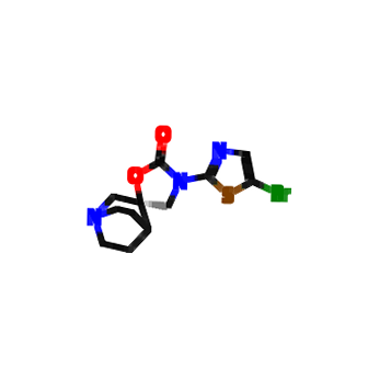 O=C1O[C@@]2(CN3CCC2CC3)CN1c1ncc(Br)s1